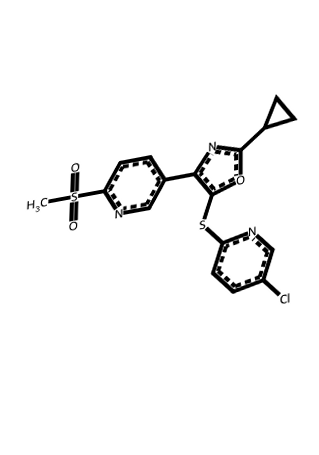 CS(=O)(=O)c1ccc(-c2nc(C3CC3)oc2Sc2ccc(Cl)cn2)cn1